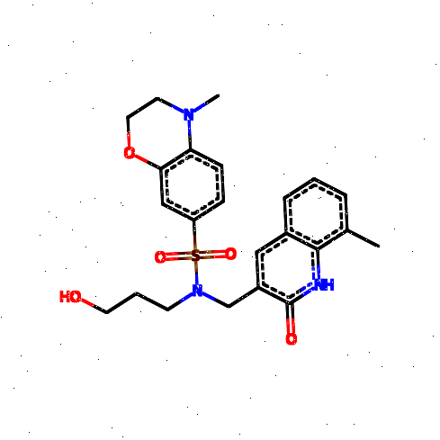 Cc1cccc2cc(CN(CCCO)S(=O)(=O)c3ccc4c(c3)OCCN4C)c(=O)[nH]c12